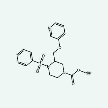 CC(C)(C)OC(=O)N1CCN(S(=O)(=O)c2ccccc2)C(COc2cccnc2)C1